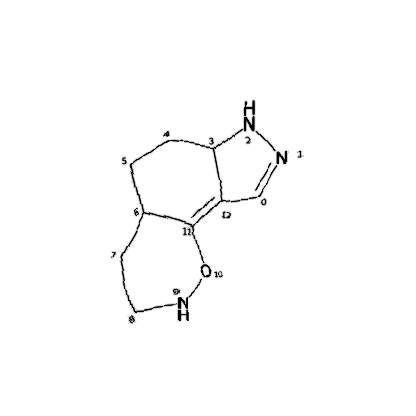 C1=NNC2CCC3CCNOC3=C12